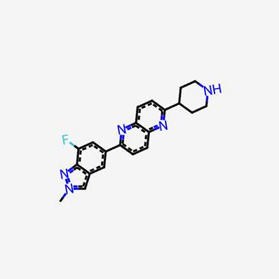 Cn1cc2cc(-c3ccc4nc(C5CCNCC5)ccc4n3)cc(F)c2n1